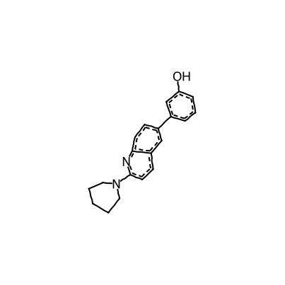 Oc1cccc(-c2ccc3nc(N4CCCCC4)ccc3c2)c1